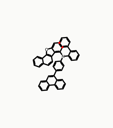 c1ccc(-c2ccccc2N(c2ccc(-c3cc4ccccc4c4ccccc34)cc2)c2cccc3oc4c5ccccc5ccc4c23)cc1